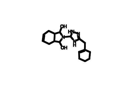 OC1C2CC=CCC2C(O)N1C1NN=C(CC2=CCCCC2)N1